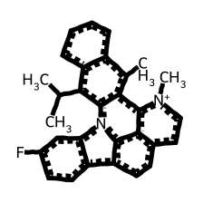 Cc1c2ccccc2c(C(C)C)c2c1c1c3c(ccc4c5ccc(F)cc5n2c43)cc[n+]1C